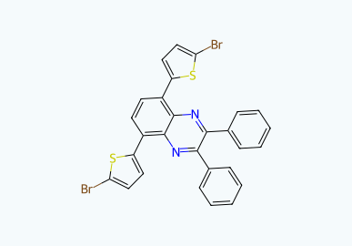 Brc1ccc(-c2ccc(-c3ccc(Br)s3)c3nc(-c4ccccc4)c(-c4ccccc4)nc23)s1